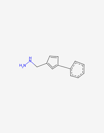 NNCC1=C=C(c2ccccc2)C=C1